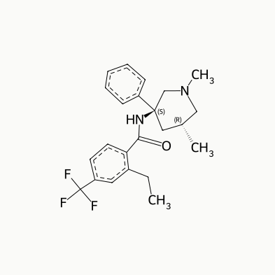 CCc1cc(C(F)(F)F)ccc1C(=O)N[C@]1(c2ccccc2)C[C@@H](C)CN(C)C1